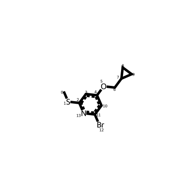 CSc1cc(OCC2CC2)cc(Br)n1